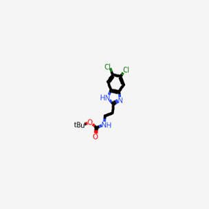 CC(C)(C)OC(=O)NCCc1nc2cc(Cl)c(Cl)cc2[nH]1